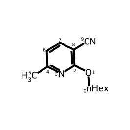 CCCCCCOc1nc(C)ccc1C#N